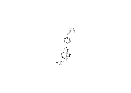 CCCc1ccc(CCC2=CC=C(CC)C(F)(F)C2(F)F)cc1